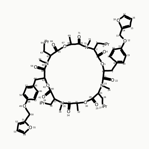 CC(C)CC1C(=O)OC(Cc2ccc(OCc3ccco3)cc2)C(=O)N(C)C(CC(C)C)C(=O)OC(C)C(=O)N(C)C(CC(C)C)C(=O)OC(Cc2ccc(OCc3ccco3)cc2)C(=O)N(C)C(CC(C)C)C(=O)OC(C)C(=O)N1C